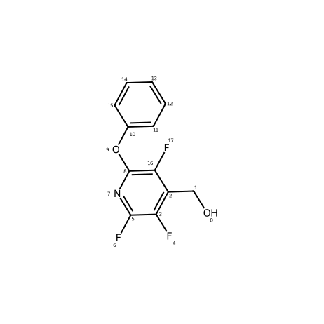 OCc1c(F)c(F)nc(Oc2ccccc2)c1F